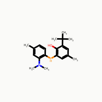 Cc1ccc(Pc2cc(C)cc(C(C)(C)C)c2O)c(N(C)C)c1